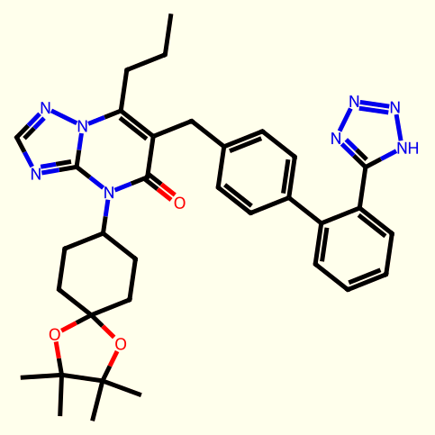 CCCc1c(Cc2ccc(-c3ccccc3-c3nnn[nH]3)cc2)c(=O)n(C2CCC3(CC2)OC(C)(C)C(C)(C)O3)c2ncnn12